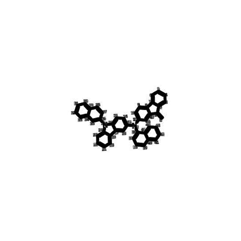 C=C1c2ccccc2-c2ccc(N(c3ccc4c(c3)c3ccccc3n4-c3ccc4ccccc4c3)c3cccc4ccccc34)cc21